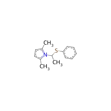 Cc1ccc(C)n1C(C)Sc1ccccc1